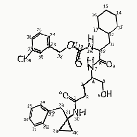 O=C(CCC(CO)NC(=O)C(CC1CCCCC1)NC(=O)OCc1cccc(Cl)c1)NC1(Cc2ccccc2)CC1